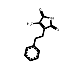 CC1=C(CCc2ccccc2)C(=O)NC1=O